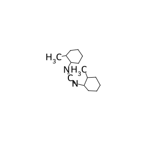 CC1CCCCC1N=C=NC1CCCCC1C